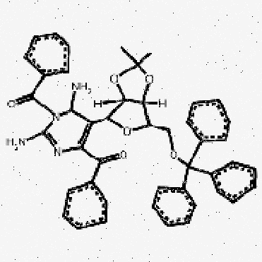 CC1(C)O[C@@H]2[C@H](O1)[C@@H](COC(c1ccccc1)(c1ccccc1)c1ccccc1)O[C@H]2C1=C(C(=O)c2ccccc2)N=C(N)N(C(=O)c2ccccc2)C1N